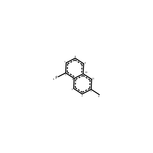 Cc1ccc2c(F)cccc2c1